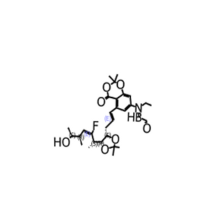 CCN(BC=O)c1cc(/C=C/C[C@@H]2OC(C)(C)O[C@@H]2[C@H](C)/C(F)=C\[C@@H](C)[C@H](C)O)c2c(c1)OC(C)(C)OC2=O